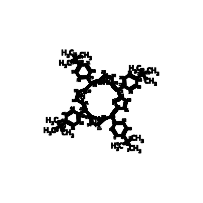 CC(C)(C)c1ccc(-c2c3nc(c(-c4ccc(C(C)(C)C)cc4)c4ccc([nH]4)c(-c4ccc(C(C)(C)C)cc4)c4nc(c(-c5ccc(C(C)(C)C)cc5)c5ccc2[nH]5)C=C4)C=C3)cc1